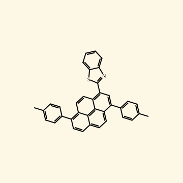 Cc1ccc(-c2ccc3ccc4c(-c5ccc(C)cc5)cc(-c5nc6ccccc6s5)c5ccc2c3c45)cc1